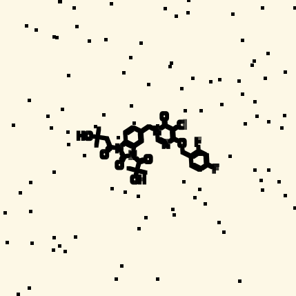 CC(C)(O)CC(=O)n1c(=O)n(C(=O)C(C)(C)O)c2cc(Cn3cnc(OCc4ccc(F)cc4F)c(Cl)c3=O)ccc21